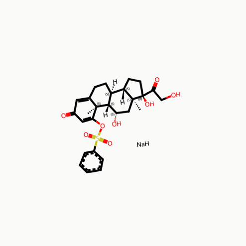 C[C@@]12C(=CC(=O)C=C1OS(=O)(=O)c1ccccc1)CC[C@@H]1[C@@H]2[C@@H](O)C[C@@]2(C)[C@H]1CC[C@]2(O)C(=O)CO.[NaH]